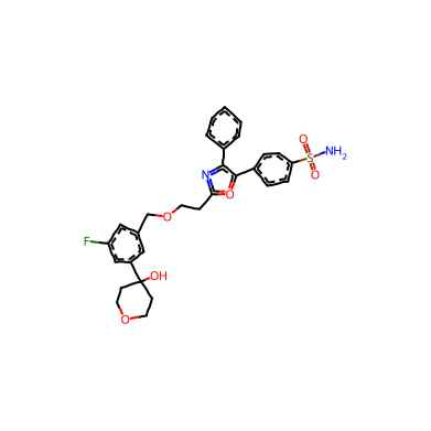 NS(=O)(=O)c1ccc(-c2oc(CCOCc3cc(F)cc(C4(O)CCOCC4)c3)nc2-c2ccccc2)cc1